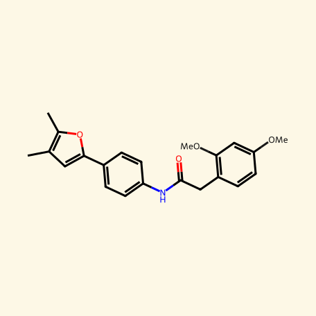 COc1ccc(CC(=O)Nc2ccc(-c3cc(C)c(C)o3)cc2)c(OC)c1